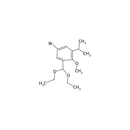 CCOC(OCC)c1cc(Br)cc(C(C)C)c1OC